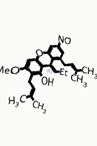 CC/C=C1\c2c(CC=C(C)C)cc(N=O)cc2Oc2cc(OC)c(CC=C(C)C)c(O)c21